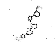 O=[N+]([O-])c1ccc(N2CCC[C@H](N[C@@H]3CCCC[C@H]3Nc3cc(-c4cccc(OC(F)(F)F)c4)ccn3)C2)cc1